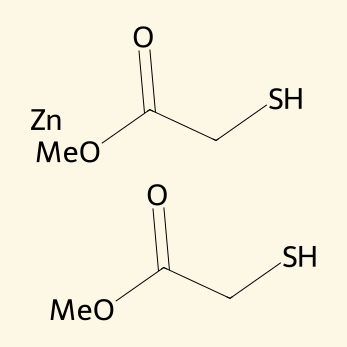 COC(=O)CS.COC(=O)CS.[Zn]